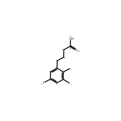 Cc1c(F)cc(F)cc1CCCC(=O)O